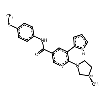 O=C(Nc1ccc(SC(F)(F)F)cc1)c1cnc(N2CC[C@@H](O)C2)c(-c2ccc[nH]2)c1